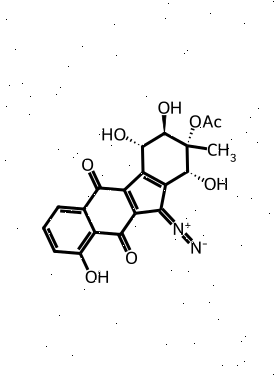 CC(=O)O[C@]1(C)[C@H](O)c2c(c3c(=O)c4cccc(O)c4c(=O)c=3c2=[N+]=[N-])[C@H](O)[C@H]1O